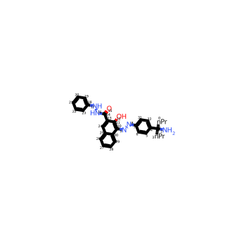 CCCC(N)(CCC)c1ccc(N=Nc2c(O)c(C(=O)NNc3ccccc3)cc3ccccc23)cc1